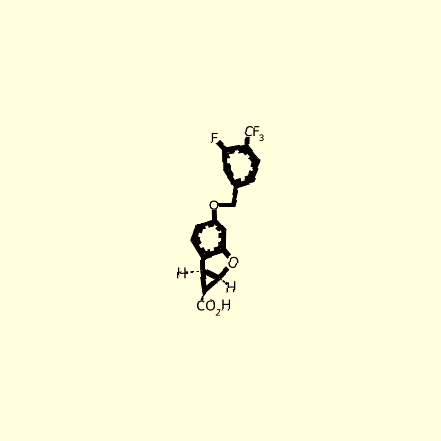 O=C(O)[C@H]1[C@@H]2Oc3cc(OCc4ccc(C(F)(F)F)c(F)c4)ccc3[C@@H]21